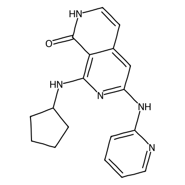 O=c1[nH]ccc2cc(Nc3ccccn3)nc(NC3CCCC3)c12